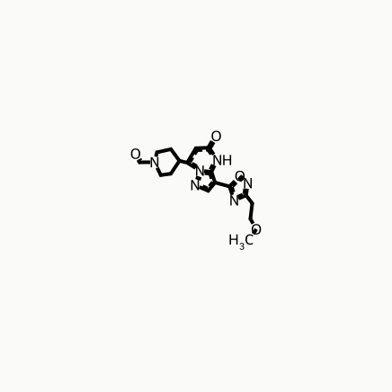 COCCc1noc(-c2cnn3c(C4CCN(C=O)CC4)cc(=O)[nH]c23)n1